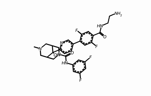 CN1CC2CN(C(=O)Nc3cc(F)cc(F)c3)CC(C1)C2(O)c1ccc(-c2cc(F)c(C(=O)NCCN)cc2F)cn1